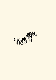 COc1cnc(C2CC2)cc1Nc1nccc(-c2ccn([C@H](CO)c3ccc(Cl)c(F)c3)c(=O)c2)n1